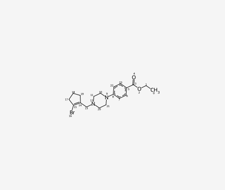 CCOC(=O)c1ccc(N2CCN(CC3=C(Br)CCC3)CC2)cc1